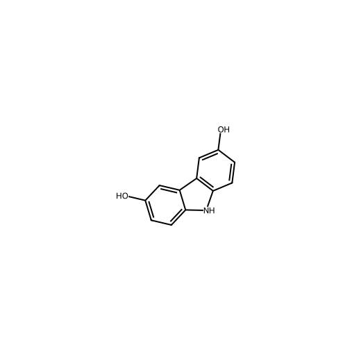 Oc1ccc2[nH]c3ccc(O)cc3c2c1